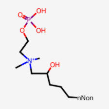 CCCCCCCCCCCCC(O)C[N+](C)(C)CCOP(=O)(O)O